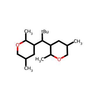 CC1COC(C)C(C(C2CC(C)COC2C)C(C)(C)C)C1